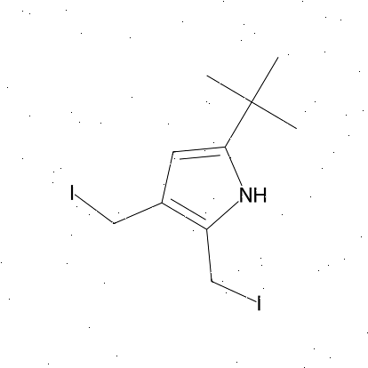 CC(C)(C)c1cc(CI)c(CI)[nH]1